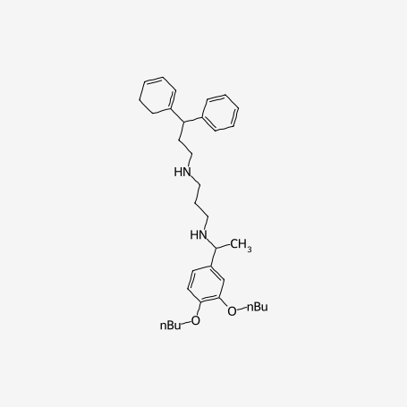 CCCCOc1ccc(C(C)NCCCNCCC(C2=CC=CCC2)c2ccccc2)cc1OCCCC